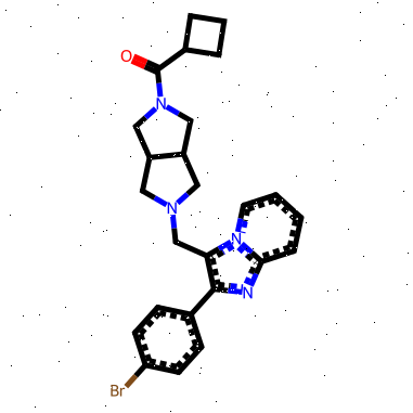 O=C(C1CCC1)N1CC2CN(Cc3c(-c4ccc(Br)cc4)nc4ccccn34)CC2C1